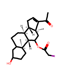 CC(=O)C1=CC[C@H]2[C@@H]3CCC4CC(O)CC[C@]4(C)[C@H]3C(OC(=O)CI)C[C@]12C